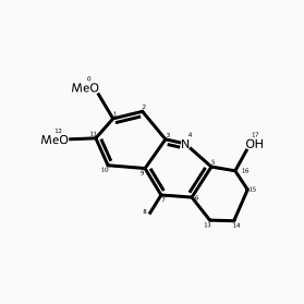 COc1cc2nc3c(c(C)c2cc1OC)CCCC3O